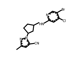 Cc1cc(C#N)n(C2CCC(CNc3cc(Cl)c(Br)cn3)C2)n1